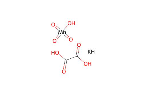 O=C(O)C(=O)O.[KH].[O]=[Mn](=[O])(=[O])[OH]